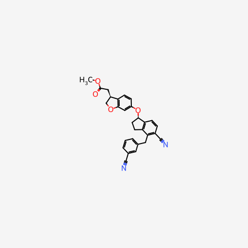 COC(=O)C[C@@H]1COc2cc(O[C@@H]3CCc4c3ccc(C#N)c4Cc3cccc(C#N)c3)ccc21